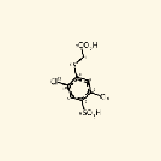 O=C(O)CSc1cc(Cl)c(S(=O)(=O)O)cc1Cl